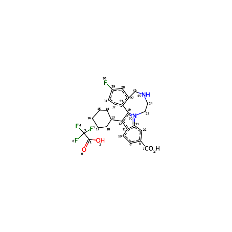 O=C(O)C(F)(F)F.O=C(O)c1ccc2c(C3CCCCC3)c3n(c2c1)CCNCc1cc(F)ccc1-3